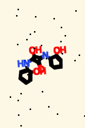 O=c1c(Nc2ccccc2O)c(O)/c1=N/c1ccccc1O